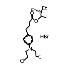 Br.CCN(CC)C(C)OC(=O)CCCc1ccc(N(CCCl)CCCl)cc1